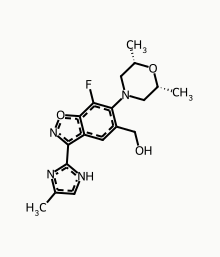 Cc1c[nH]c(-c2noc3c(F)c(N4C[C@@H](C)O[C@@H](C)C4)c(CO)cc23)n1